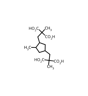 CC1CC(CC(C)(C(=O)O)C(=O)O)CC1CC(C)(C(=O)O)C(=O)O